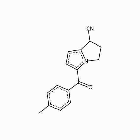 Cc1ccc(C(=O)c2ccc3n2CCC3C#N)cc1